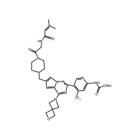 COC(=O)Nc1cc(C(F)(F)F)c(-c2nc(N3CC4(COC4)C3)c3cc(CN4CCN(C(=O)CNC(=O)C=C(C)C)CC4)cn3n2)cn1